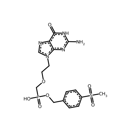 CS(=O)(=O)c1ccc(COP(=O)(O)COCCn2cnc3c(=O)[nH]c(N)nc32)cc1